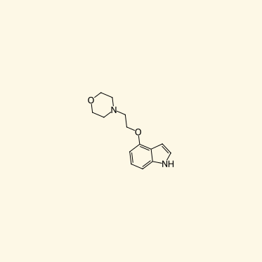 c1cc(OCCN2CCOCC2)c2cc[nH]c2c1